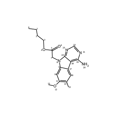 CCCCOC(=O)Cn1c2cc(OC)c(C)cc2c2c(N)ncnc21